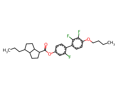 CCCCOc1ccc(-c2ccc(OC(=O)C3CCC4C(CCC)CCC34)cc2F)c(F)c1F